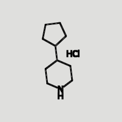 C1CCC(C2CCNCC2)C1.Cl